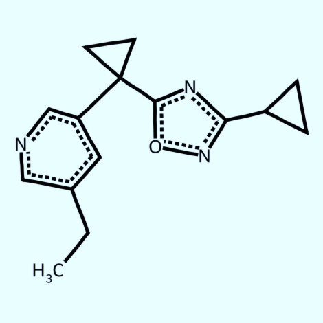 CCc1cncc(C2(c3nc(C4CC4)no3)CC2)c1